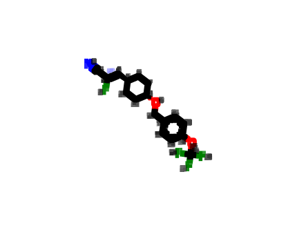 N#C/C(F)=C/[C@H]1CC[C@H](OCc2ccc(OC(F)(F)F)cc2)CC1